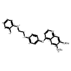 COc1cc2nccc(Oc3ccc(SCCOc4ccccc4F)cc3)c2cc1OC